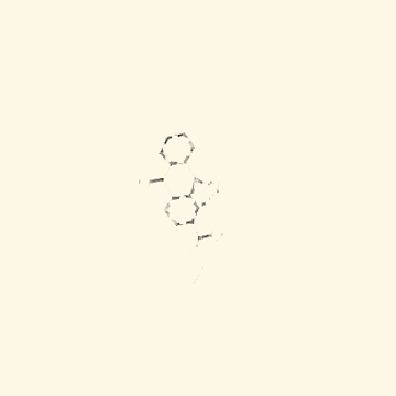 CCOC(=O)c1ccc2c3c(nsc13)-c1ccccc1C2=O